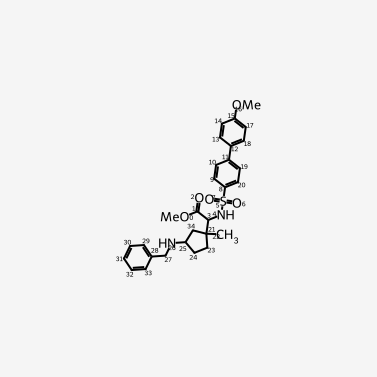 COC(=O)C(NS(=O)(=O)c1ccc(-c2ccc(OC)cc2)cc1)C1(C)CCC(NCc2ccccc2)C1